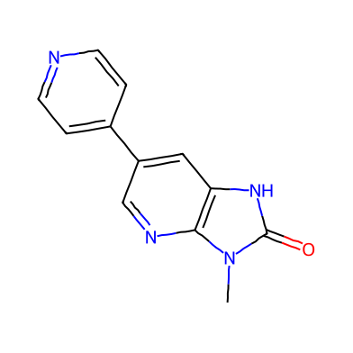 Cn1c(=O)[nH]c2cc(-c3ccncc3)cnc21